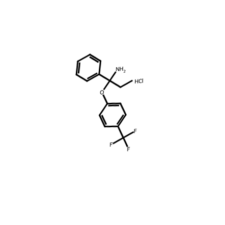 CCC(N)(Oc1ccc(C(F)(F)F)cc1)c1ccccc1.Cl